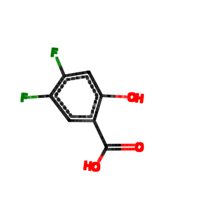 O=C(O)c1cc(F)c(F)cc1O